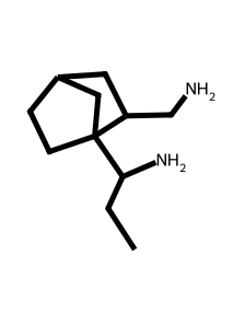 CCC(N)C12CCC(CC1CN)C2